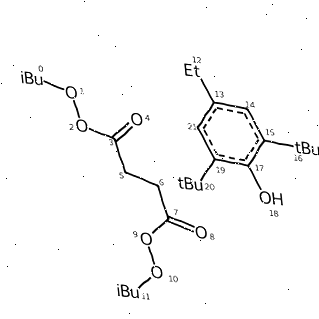 CCC(C)OOC(=O)CCC(=O)OOC(C)CC.CCc1cc(C(C)(C)C)c(O)c(C(C)(C)C)c1